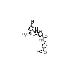 COc1ccc(C#N)cc1[C@H](C)Nc1ccc(C(=O)NCC2CCC(C(=O)O)CC2)cn1